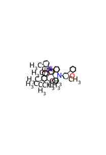 Cc1c(C(C)(C)C)cc2c(c1C(C)C)-c1c(-c3ccccc3N(C3=CCC4(C)Oc5ccccc5C4=C3)c3cccc(N4C5=CC=CC(C)C5c5ccccc54)c3)cccc1C2(C)C